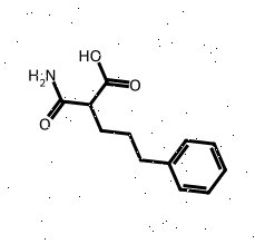 NC(=O)C(CCCc1ccccc1)C(=O)O